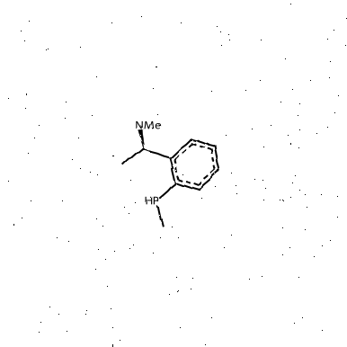 CN[C@H](C)c1ccccc1PC